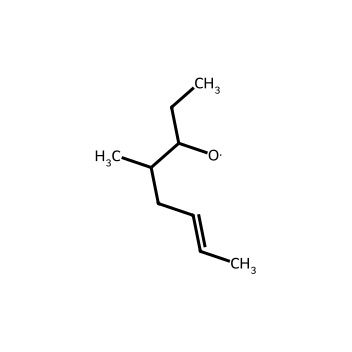 CC=CCC(C)C([O])CC